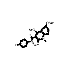 COc1ccc2c(c1)c(OC(C)=O)c(C(=O)N(C(C)=O)c1ccc(F)cc1)c(=O)n2C